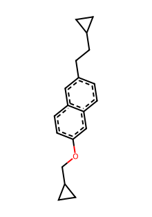 c1cc2cc(OCC3CC3)ccc2cc1CCC1CC1